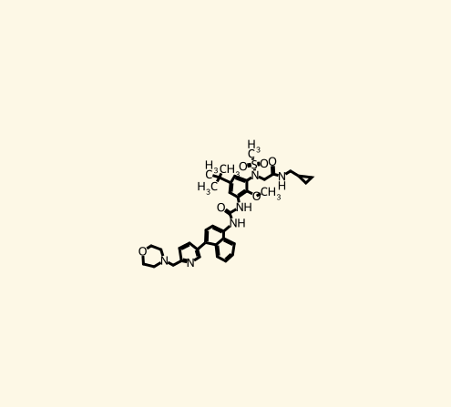 COc1c(NC(=O)Nc2ccc(-c3ccc(CN4CCOCC4)nc3)c3ccccc23)cc(C(C)(C)C)cc1N(CC(=O)NCC1CC1)S(C)(=O)=O